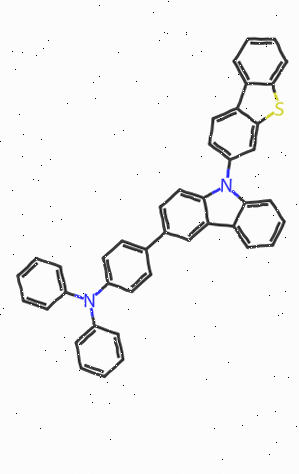 c1ccc(N(c2ccccc2)c2ccc(-c3ccc4c(c3)c3ccccc3n4-c3ccc4c(c3)sc3ccccc34)cc2)cc1